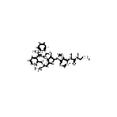 CCNC(=O)Nc1ncnc2c1ncn2C1OC(CN(C)Cc2ncccc2C(=O)O)C2O[C@H](c3ccccc3)OC21